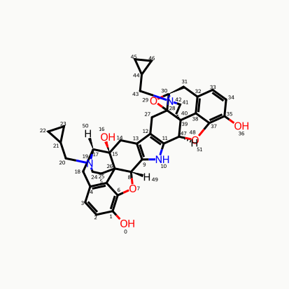 Oc1ccc2c3c1O[C@H]1c4[nH]c5c(c4C[C@@]4(O)[C@@H](C2)N(CC2CC2)CCC314)CC12O[C@@]13Cc1ccc(O)c4c1[C@@]2(CCN3CC1CC1)[C@H]5O4